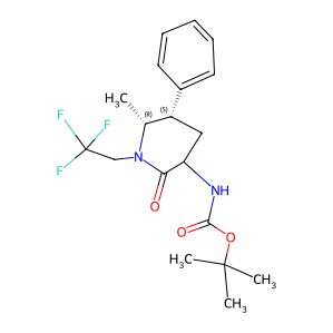 C[C@@H]1[C@H](c2ccccc2)CC(NC(=O)OC(C)(C)C)C(=O)N1CC(F)(F)F